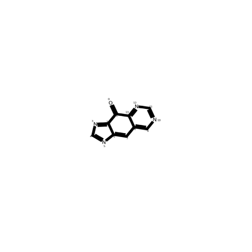 O=C1C2=NC=NC2=Cc2cncnc21